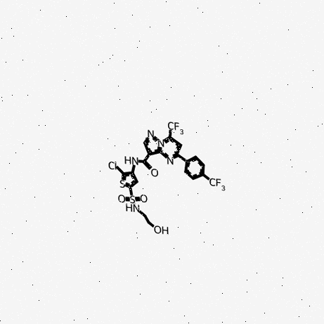 O=C(Nc1cc(S(=O)(=O)NCCO)sc1Cl)c1cnn2c(C(F)(F)F)cc(-c3ccc(C(F)(F)F)cc3)nc12